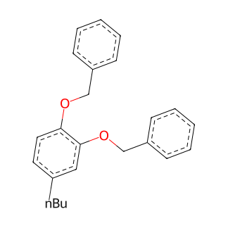 [CH2]CCCc1ccc(OCc2ccccc2)c(OCc2ccccc2)c1